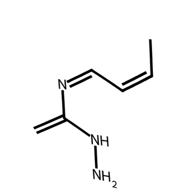 C=C(/N=C\C=C/C)NN